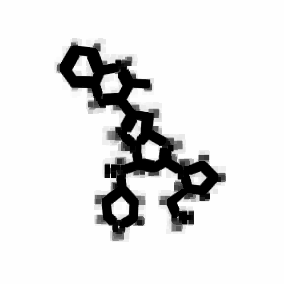 Cc1nc2ccccc2nc1-c1cc2nc(N3CCC[C@H]3CO)cc(NC3CCOCC3)n2n1